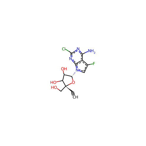 C#C[C@]1(CO)O[C@@H](n2cc(F)c3c(N)nc(Cl)nc32)C(O)C1O